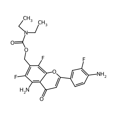 CCN(CC)C(=O)OCc1c(F)c(N)c2c(=O)cc(-c3ccc(N)c(F)c3)oc2c1F